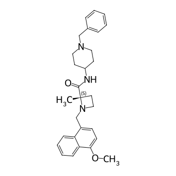 COc1ccc(CN2CC[C@@]2(C)C(=O)NC2CCN(Cc3ccccc3)CC2)c2ccccc12